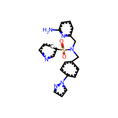 Nc1cccc(CN(Cc2ccc(-n3cccn3)cc2)S(=O)(=O)c2cccnc2)n1